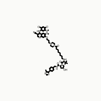 COc1cc(Nc2c(C#N)cnc3cc(OCCCN4CCN(C(=O)CCCCCCCN[C@H](C(=O)N5C[C@H](O)C[C@H]5C(=O)NCc5ccc(-c6scnc6C)cc5)C(C)(C)C)CC4)c(OC)cc23)c(Cl)cc1Cl